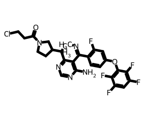 C/N=C(/c1ccc(Oc2c(F)c(F)cc(F)c2F)cc1F)c1c(N)ncnc1C(C)C1CCN(C(=O)CCCl)C1